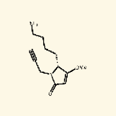 C#CCN1C(=O)C=C(OC)[C@H]1CCCCN